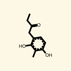 CCC(=O)Cc1ccc(O)c(C)c1O